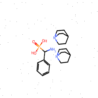 C1CN2CCC1CC2.C1CN2CCC1CC2.NC(c1ccccc1)P(=O)(O)O